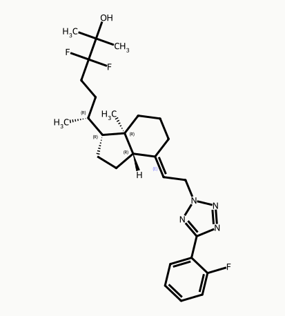 C[C@H](CCC(F)(F)C(C)(C)O)[C@H]1CC[C@H]2/C(=C/Cn3nnc(-c4ccccc4F)n3)CCC[C@]12C